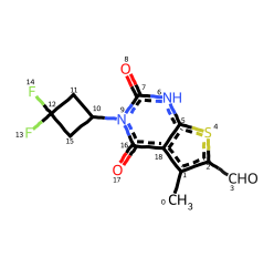 Cc1c(C=O)sc2[nH]c(=O)n(C3CC(F)(F)C3)c(=O)c12